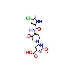 COc1nc(C(=O)O)cc(N2CC[C@@H](NC(=O)c3cc(Cl)c(C)[nH]3)[C@@H](OC)C2)n1